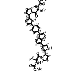 COC(=O)N[C@H](C(=O)N1CC=CC1c1nc(-c2csc3c(-c4ccc(-c5cnc(C6C=CCN6C(=O)[C@@H](NC(=O)OC)C(C)C)[nH]5)cc4)csc23)c[nH]1)C(C)C